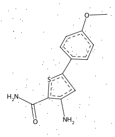 COc1ccc(-c2cc(N)c(C(N)=O)s2)cc1